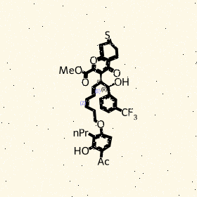 CCCc1c(OCC/C=C\C=C\[C@@H](c2c(C(=O)OC)oc3c(c2=O)=CCC(=S)C=3)[C@@H](O)c2cccc(C(F)(F)F)c2)ccc(C(C)=O)c1O